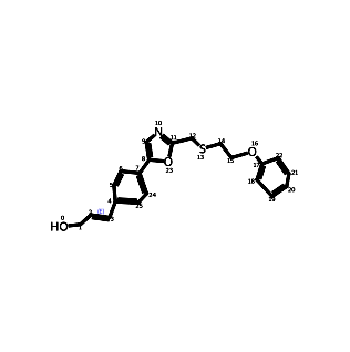 OC/C=C/c1ccc(-c2cnc(CSCCOc3ccccc3)o2)cc1